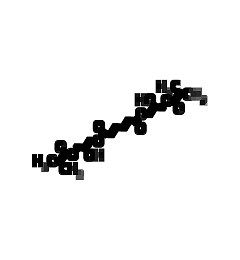 C=C(C)C(=O)OCC(O)COC(=O)CCCCC(=O)OCC(O)COC(=O)C(=C)C